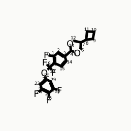 Fc1cc(C2OCC(C3CCC3)CO2)ccc1C(F)(F)Oc1cc(F)c(F)c(F)c1